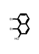 CCc1cccc2ccc(O)c(CC)c12